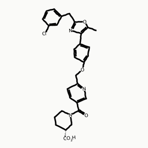 Cc1oc(Cc2cccc(Cl)c2)nc1-c1ccc(OCc2ccc(C(=O)N3CCC[C@@H](C(=O)O)C3)cn2)cc1